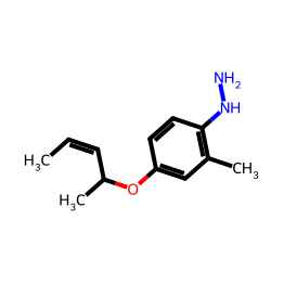 C/C=C\C(C)Oc1ccc(NN)c(C)c1